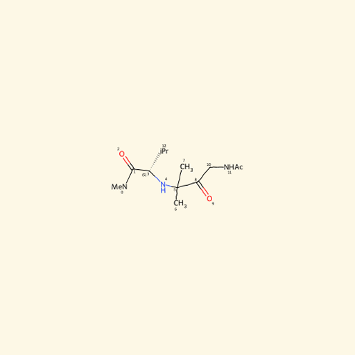 CNC(=O)[C@@H](NC(C)(C)C(=O)CNC(C)=O)C(C)C